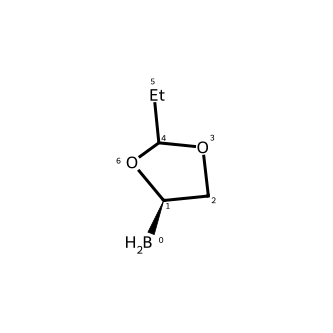 B[C@@H]1COC(CC)O1